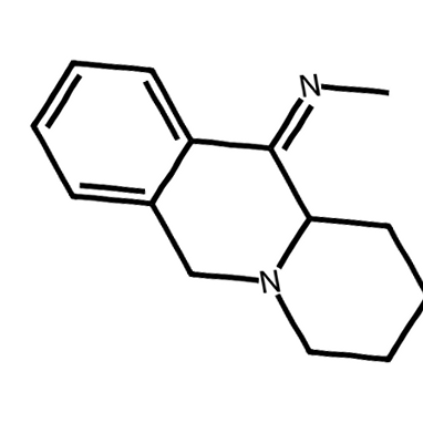 CN=C1c2ccccc2CN2CCCCC12